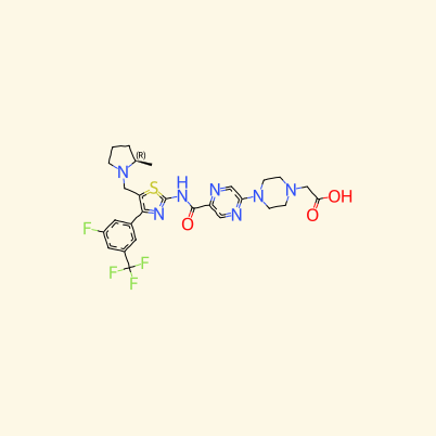 C[C@@H]1CCCN1Cc1sc(NC(=O)c2cnc(N3CCN(CC(=O)O)CC3)cn2)nc1-c1cc(F)cc(C(F)(F)F)c1